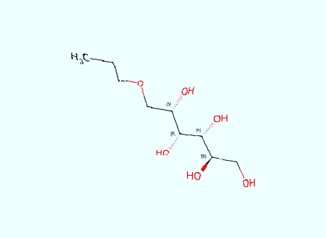 CCCOC[C@H](O)[C@@H](O)[C@H](O)[C@H](O)CO